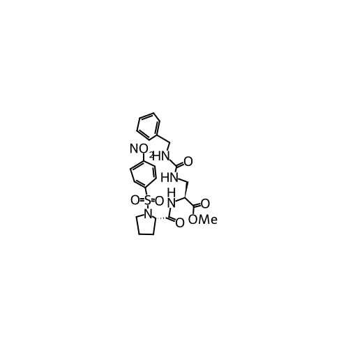 COC(=O)[C@H](CNC(=O)NCc1ccccc1)NC(=O)[C@@H]1CCCN1S(=O)(=O)c1ccc([N+](=O)[O-])cc1